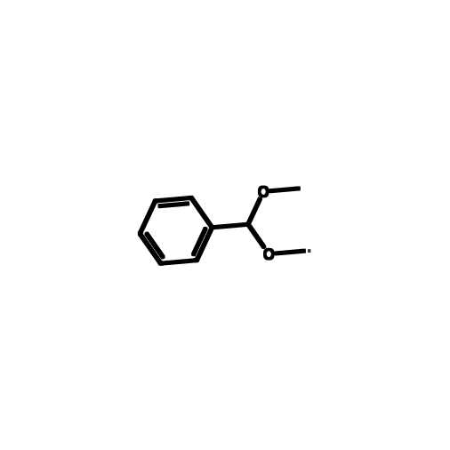 [CH2]OC(OC)c1ccccc1